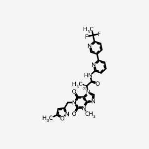 Cc1cc(Cn2c(=O)c3c(ncn3[C@@H](C)C(=O)Nc3cccc(-c4ccc(C(C)(F)F)nc4)n3)n(C)c2=O)no1